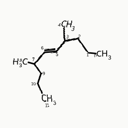 CCCC(C)C=CC(C)CCC